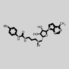 Cc1ncnc2c1ccn2C1O[C@H](CN(CCCNC(=O)Nc2ccc(C(C)(C)C)cc2)C(C)C)[C@@H](O)[C@H]1O